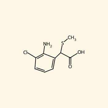 CSC(C(=O)O)c1cccc(Cl)c1N